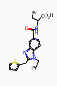 CC(C)CC(NC(=O)c1ccc2c(c1)nc(Cc1cccs1)n2CC(C)C)C(=O)O